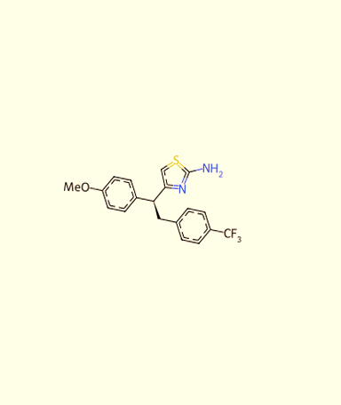 COc1ccc([C@H](Cc2ccc(C(F)(F)F)cc2)c2csc(N)n2)cc1